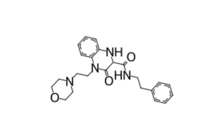 O=C(NCCc1ccccc1)C1Nc2ccccc2N(CCN2CCOCC2)C1=O